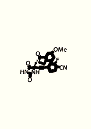 COc1ccc2c(c1)C(=O)N(C[C@@]1(C#Cc3ccc(C#N)c(F)c3)NC(=O)NC1=O)C2